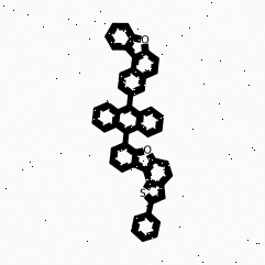 c1ccc(-c2cc3ccc4oc5c(-c6c7ccccc7c(-c7ccc8c(ccc9oc%10ccccc%10c98)c7)c7ccccc67)cccc5c4c3s2)cc1